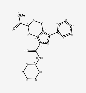 COC(=O)N1CCn2c(-c3ccccc3)nc(C(=O)NC3CCCCC3)c2C1